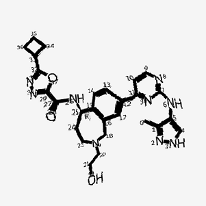 Cc1n[nH]cc1Nc1nccc(-c2ccc3c(c2)CN(CCO)CC[C@H]3NC(=O)c2nnc(C3CCC3)o2)n1